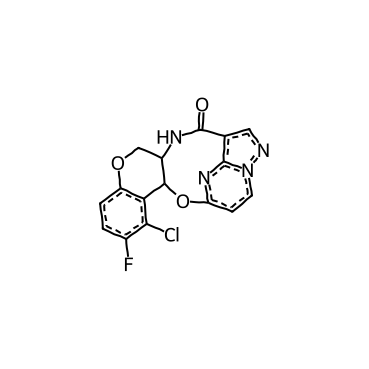 O=C1NC2COc3ccc(F)c(Cl)c3C2Oc2ccn3ncc1c3n2